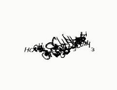 Cc1c(CCB2O[C@@H]3C[C@@H]4C[C@@H](C4(C)C)[C@]3(C)O2)ccc(OC2CN(C(=O)Cc3cn(CC(=O)O)nn3)C2)c1C(=O)OC(C)(C)C